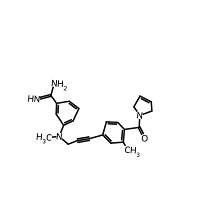 Cc1cc(C#CCN(C)c2cccc(C(=N)N)c2)ccc1C(=O)N1CC=CC1